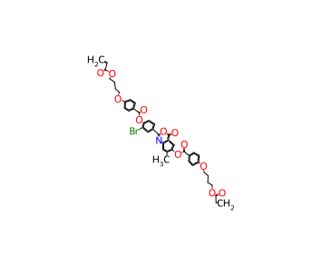 C=CC(=O)OCCCCOc1ccc(C(=O)Oc2cc3c(=O)oc(-c4ccc(OC(=O)c5ccc(OCCCCOC(=O)C=C)cc5)c(Br)c4)nc3cc2C)cc1